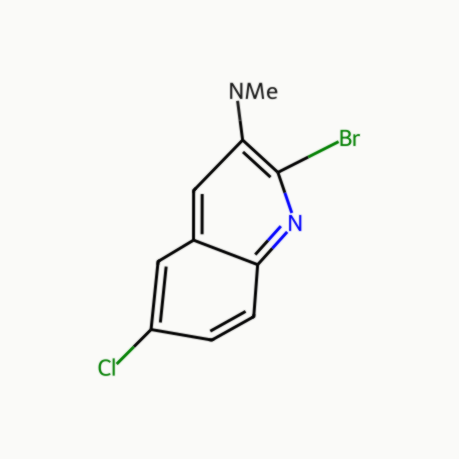 CNc1cc2cc(Cl)ccc2nc1Br